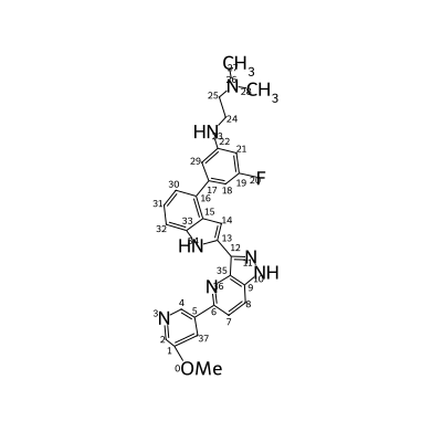 COc1cncc(-c2ccc3[nH]nc(-c4cc5c(-c6cc(F)cc(NCCN(C)C)c6)cccc5[nH]4)c3n2)c1